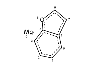 [Mg].c1ccc2occc2c1